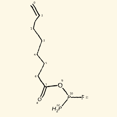 C=CCCCCCC(=O)OP(F)P